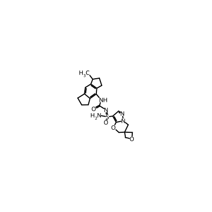 CC1CCc2c1cc1c(c2NC(=O)N=S(N)(=O)c2cnn3c2OCC2(COC2)C3)CCC1